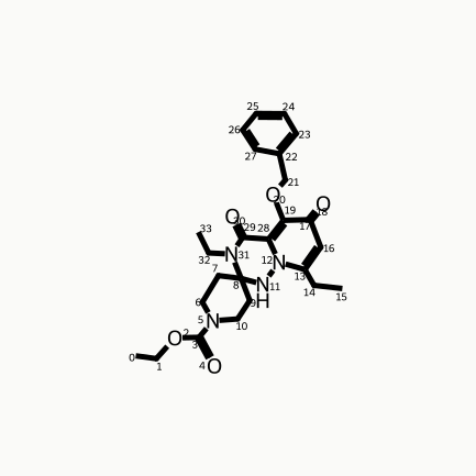 CCOC(=O)N1CCC2(CC1)Nn1c(CC)cc(=O)c(OCc3ccccc3)c1C(=O)N2CC